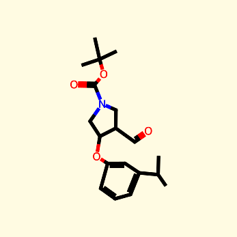 CC(C)c1cccc(OC2CN(C(=O)OC(C)(C)C)CC2C=O)c1